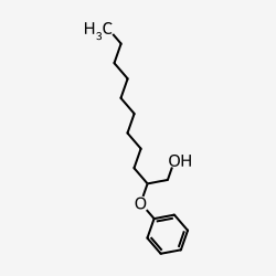 CCCCCCCCCC(CO)Oc1ccccc1